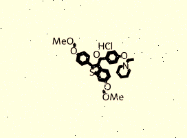 COCOc1ccc(-c2sc3cc(OCOC)ccc3c2C(=O)c2ccc(OC(C)N3CCCCC3)cc2)cc1.Cl